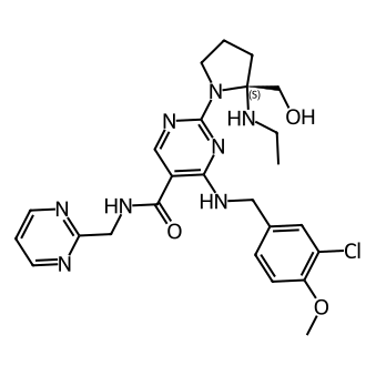 CCN[C@@]1(CO)CCCN1c1ncc(C(=O)NCc2ncccn2)c(NCc2ccc(OC)c(Cl)c2)n1